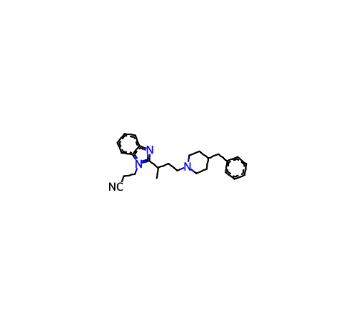 CC(CCN1CCC(Cc2ccccc2)CC1)c1nc2ccccc2n1CCC#N